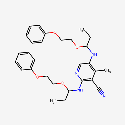 CCC(Nc1cnc(NC(CC)OCCOc2ccccc2)c(C#N)c1C)OCCOc1ccccc1